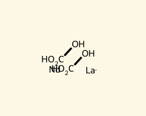 O=C(O)O.O=C(O)O.[La].[Nd]